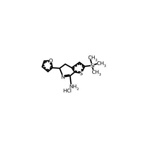 C[Si](C)(C)c1cc2c(s1)C(N)=NC(c1ccco1)C2.Cl